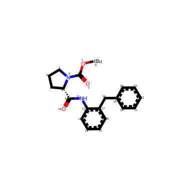 CC(C)(C)OC(=O)N1CCC[C@H]1C(=O)Nc1ccccc1Cc1ccccc1